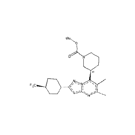 Cc1nc2cc([C@H]3CC[C@H](C(F)(F)F)CC3)nn2c([C@@H]2CCCN(C(=O)OC(C)(C)C)C2)c1C